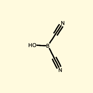 N#CB(O)C#N